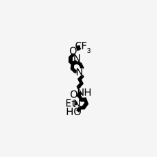 CCN1C(C(=O)NCCCCN2CCc3ccc(OCC(F)(F)F)nc3CC2)=CC=CC1O